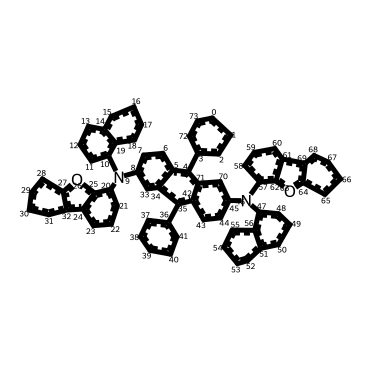 c1ccc(-c2c3ccc(N(c4cccc5ccccc45)c4cccc5c4oc4ccccc45)cc3c(-c3ccccc3)c3ccc(N(c4cccc5ccccc45)c4cccc5c4oc4ccccc45)cc23)cc1